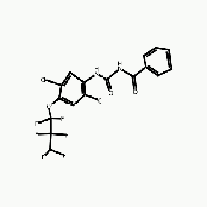 O=C(NC(=O)c1ccccc1)Nc1cc(Cl)c(OC(F)(F)C(F)(F)C(F)F)cc1Cl